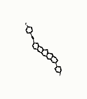 Fc1ccc(C#Cc2ccc3cc4cc5cc6cc(-c7ccc(F)cc7)ccc6cc5cc4cc3c2)cc1